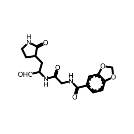 O=CC(CC1CCNC1=O)NC(=O)CNC(=O)c1ccc2c(c1)OCO2